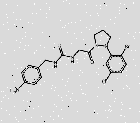 Nc1ccc(CNC(=O)NCC(=O)N2CCCN2c2cc(Cl)ccc2Br)cc1